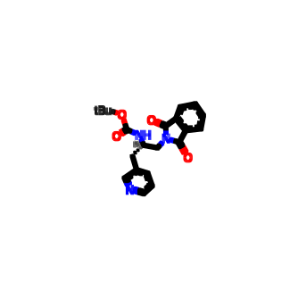 CC(C)(C)OC(=O)N[C@@H](Cc1cccnc1)CN1C(=O)c2ccccc2C1=O